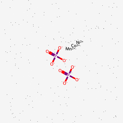 O=P([O-])([O-])[O-].O=P([O-])([O-])[O-].[Co+2].[Mn+2].[Ni+2]